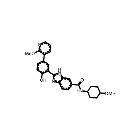 COc1ncccc1-c1ccc(O)c(-c2nc3ccc(C(=O)NC4CCC(OC)CC4)cc3[nH]2)c1